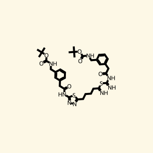 CC(C)(C)OC(=O)NCc1cccc(CC(=O)NC(=N)SC(=N)CCCCc2nnc(NC(=O)Cc3cccc(CNC(=O)OC(C)(C)C)c3)s2)c1